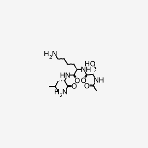 CC(=O)N[C@@H](CO)C(=O)N[C@H](CCCCN)C(=O)N[C@@H](CC(C)C)C(N)=O